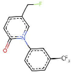 O=c1ccc(CF)cn1-c1cccc(C(F)(F)F)c1